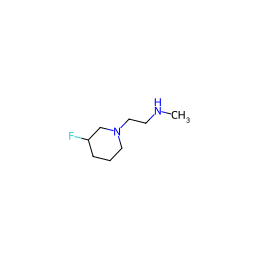 CNCCN1CCCC(F)C1